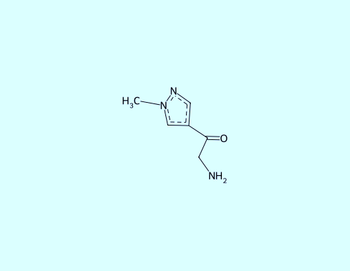 Cn1cc(C(=O)CN)cn1